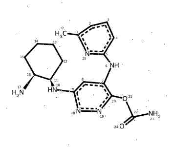 Cc1cccc(Nc2cc(N[C@@H]3CCCC[C@@H]3N)nnc2OC(N)=O)n1